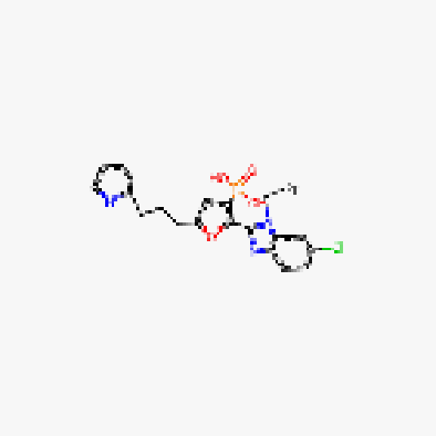 CC(C)Cn1c(-c2oc(CCCc3ccccn3)cc2P(=O)(O)O)nc2ccc(Cl)cc21